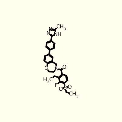 CCc1c(C(=O)N2CCOc3ccc(-c4ccc(-c5nnc(C)[nH]5)cc4)cc3C2)ccc(S(=O)(=O)CC)c1F